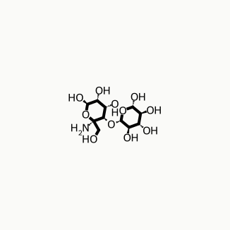 N[C@]1(CO)O[C@@H](O)[C@H](O)[C@H](O)[C@@H]1O[C@@H]1O[C@H](O)[C@@H](O)[C@H](O)[C@H]1O